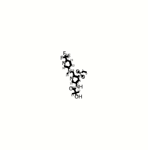 CCS(=O)(=O)c1cc(NC(=O)C(C)(C)O)cnc1CN(C)c1ccc(C(F)(F)F)nc1